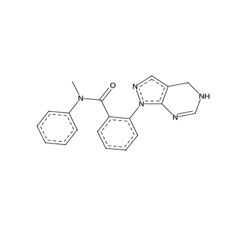 CN(C(=O)c1ccccc1-n1ncc2c1N=CNC2)c1ccccc1